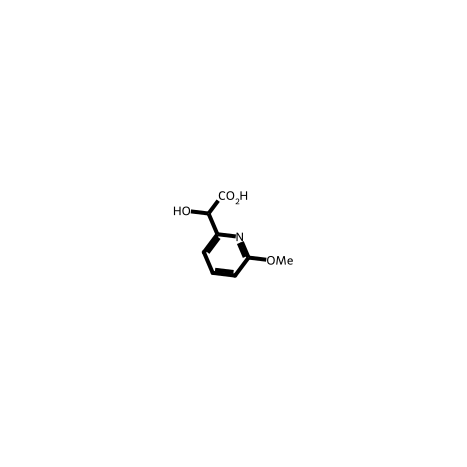 COc1cccc(C(O)C(=O)O)n1